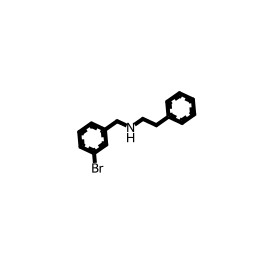 Brc1cccc(CNCCc2ccccc2)c1